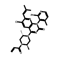 C=CC(=O)N1C[C@H](C)N(c2nc(=O)n(-c3c(C)ccnc3C(C)C)c3nc(C=C(C)C)c(Cl)cc23)C[C@H]1C